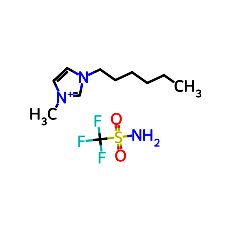 CCCCCCn1cc[n+](C)c1.NS(=O)(=O)C(F)(F)F